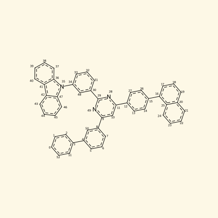 c1ccc(-c2cccc(-c3cc(-c4ccc(-c5cccc6ccccc56)cc4)nc(-c4cccc(-n5c6ccccc6c6ccccc65)c4)n3)c2)cc1